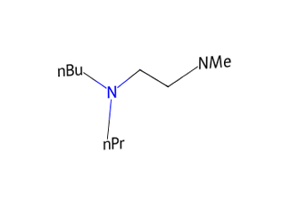 CCCCN(CCC)CCNC